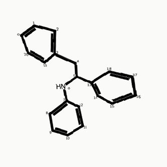 c1ccc(CC(Nc2ccccc2)c2ccccc2)cc1